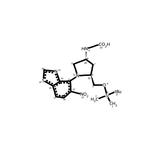 CC(C)(C)[Si](C)(C)OC[C@@H]1C[C@@H](NC(=O)O)CN1c1c([N+](=O)[O-])ccc2scnc12